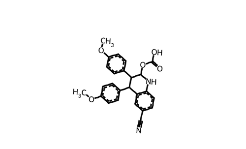 COc1ccc(C2c3cc(C#N)ccc3NC(OC(=O)O)C2c2ccc(OC)cc2)cc1